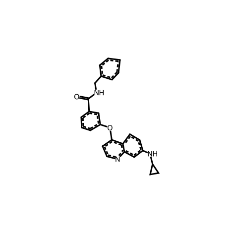 O=C(NCc1ccccc1)c1cccc(Oc2ccnc3cc(NC4CC4)ccc23)c1